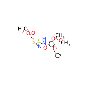 CCOC(=O)CCSc1cnc(NC(=O)c2cc(OCc3ccccc3)cc(O[C@@H](C)COC)c2)s1